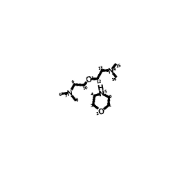 C1COCCN1.CN(C)CCOCCN(C)C